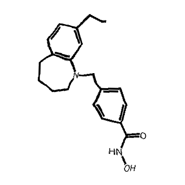 CCc1ccc2c(c1)N(Cc1ccc(C(=O)NO)cc1)CCCC2